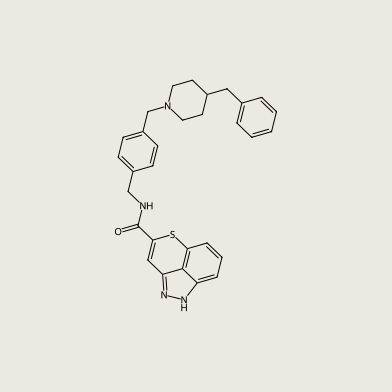 O=C(NCc1ccc(CN2CCC(Cc3ccccc3)CC2)cc1)C1=Cc2n[nH]c3cccc(c23)S1